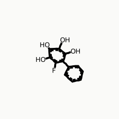 Oc1c(O)c(O)c(-c2ccccc2)c(F)c1O